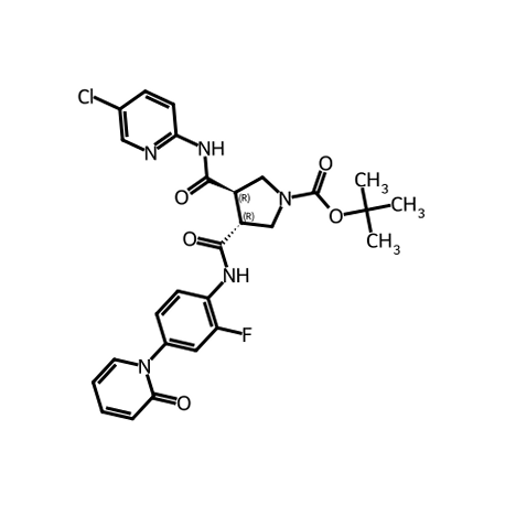 CC(C)(C)OC(=O)N1C[C@H](C(=O)Nc2ccc(Cl)cn2)[C@@H](C(=O)Nc2ccc(-n3ccccc3=O)cc2F)C1